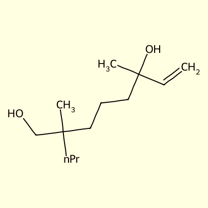 C=CC(C)(O)CCCC(C)(CO)CCC